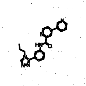 CCCn1cnnc1-c1cccc(NC(=O)c2cc(-c3cccnc3)ccn2)c1